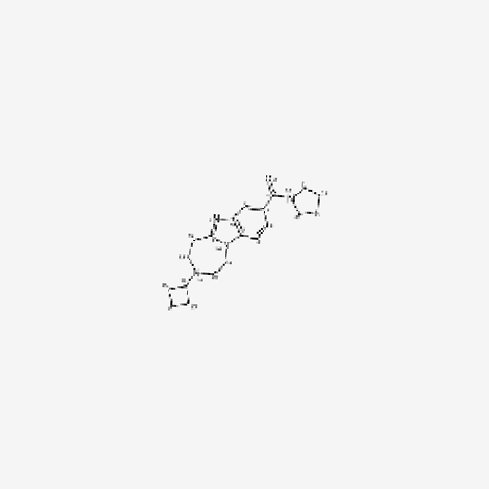 O=C(c1ccc2c(c1)nc1n2CCN(C2CCC2)CC1)N1CCCC1